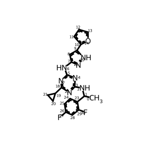 CC(Nc1nc(Nc2cc(-c3ccco3)[nH]n2)nc(C2CC2)n1)c1ccc(F)cc1F